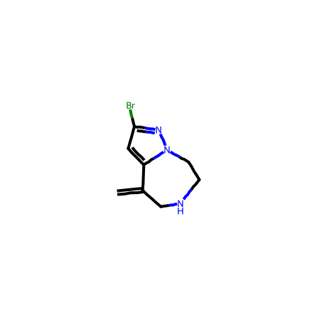 C=C1CNCCn2nc(Br)cc21